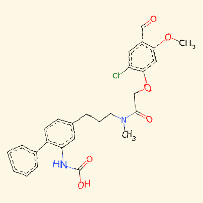 COc1cc(OCC(=O)N(C)CCCc2ccc(-c3ccccc3)c(NC(=O)O)c2)c(Cl)cc1C=O